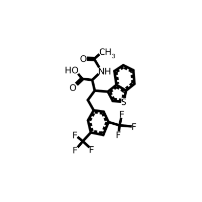 CC(=O)NC(C(=O)O)C(Cc1cc(C(F)(F)F)cc(C(F)(F)F)c1)c1csc2ccccc12